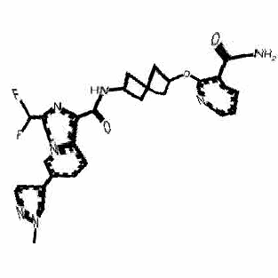 Cn1cc(-c2ccc3c(C(=O)NC4CC5(C4)CC(Oc4ncccc4C(N)=O)C5)nc(C(F)F)n3c2)cn1